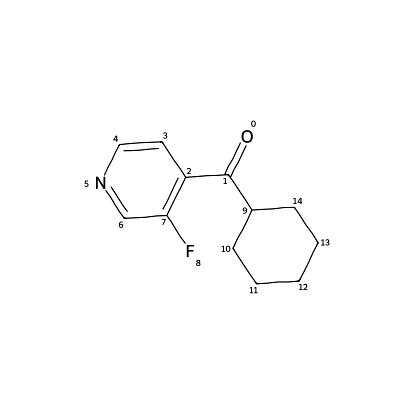 O=C(c1ccncc1F)C1CCCCC1